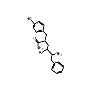 NC(=O)C(Cc1ccc(O)cc1)CC(O)C(N)Cc1ccccc1